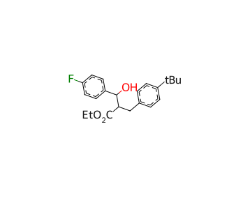 CCOC(=O)C(Cc1ccc(C(C)(C)C)cc1)C(O)c1ccc(F)cc1